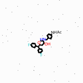 CC(=O)Nc1ccc(CNC2COC(C(c3ccc(F)cc3)c3ccc(F)cc3)CC2O)cc1